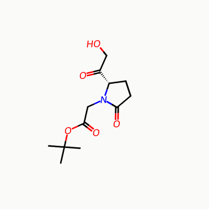 CC(C)(C)OC(=O)CN1C(=O)CC[C@H]1C(=O)CO